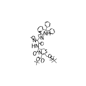 CON=C(C(=O)NC1C(=O)N2C(C(=O)OC(C)(C)C)=C(CO[Si](C)(C)C(C)(C)C)SCC12)c1csc(NC(c2ccccc2)(c2ccccc2)c2ccccc2)n1